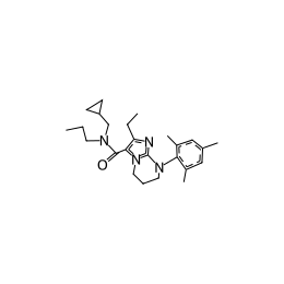 CCCN(CC1CC1)C(=O)c1c(CC)nc2n1CCCN2c1c(C)cc(C)cc1C